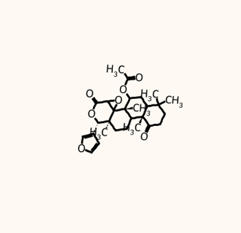 CC(=O)OC1CC2C(C)(C)CCC(=O)[C@]2(C)C2CC[C@@]3(C)[C@H](c4ccoc4)OC(=O)C4OC43[C@]12C